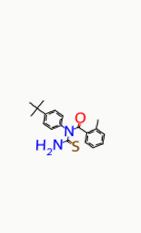 Cc1ccccc1C(=O)N(C(N)=S)c1ccc(C(C)(C)C)cc1